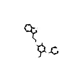 OCc1cc(NCCc2c[nH]c3ccccc23)c(Br)cc1Nc1ccncc1